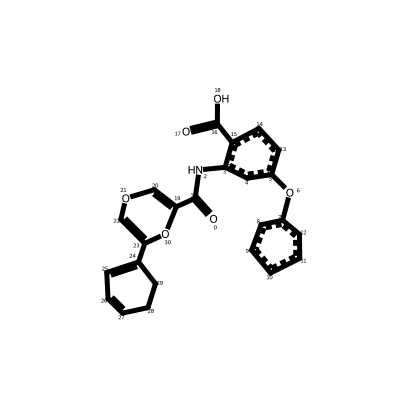 O=C(Nc1cc(Oc2ccccc2)ccc1C(=O)O)C1=COC=C(C2=CC=CCC2)O1